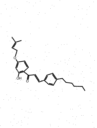 CCCCCCc1ccc(C=CC(=O)c2ccc(OCC=C(C)C)cc2O)cc1